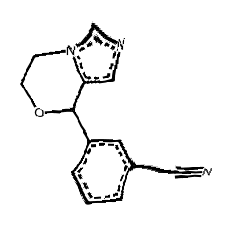 N#Cc1cccc(C2OCCn3cncc32)c1